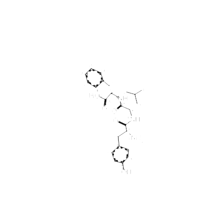 CC(C)C[C@H](NC(=O)[C@@H](N)Cc1ccc(O)cc1)C(=O)N[C@@H](Cc1ccccc1)C(=O)O